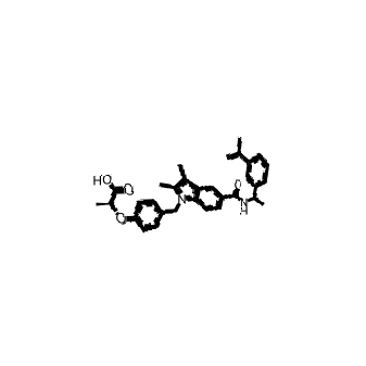 Cc1c(C)n(Cc2ccc(O[C@@H](C)C(=O)O)cc2)c2ccc(C(=O)NC(C)c3cccc(C(C)C)c3)cc12